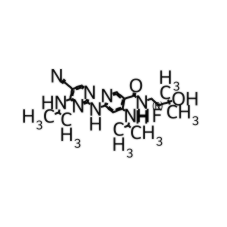 CC(C)Nc1cc(Nc2ncc(C#N)c(NC(C)C)n2)ncc1C(=O)NC[C@@H](F)C(C)(C)O